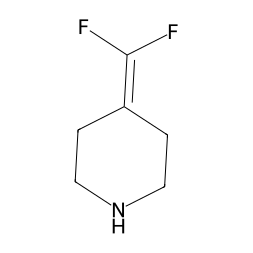 FC(F)=C1CCNCC1